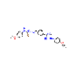 N=C(/N=C\Nc1ccc(OC(F)(F)F)cc1)c1ccc(/C=N/NC(=S)Nc2ccc(OC(F)(F)F)cc2)cc1